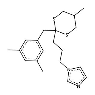 Cc1cc(C)cc(CC2(CCCn3ccnc3)SCC(C)CS2)c1